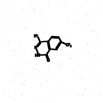 CC(C)c1n[nH]c(=O)c2cc(C(F)(F)F)ccc12